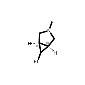 CCC1[C@H]2CN(C)C[C@@H]12